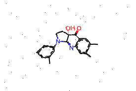 Cc1cccc(N2CC[C@@]3(O)C(=O)c4cc(C)c(C)cc4N=C23)c1